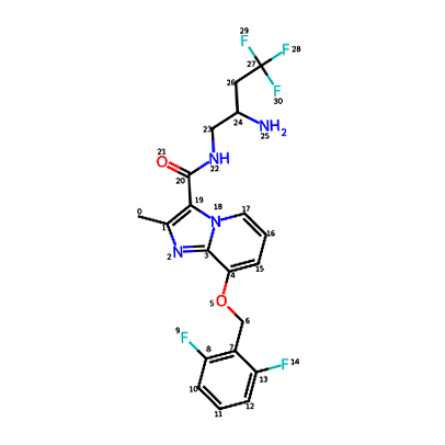 Cc1nc2c(OCc3c(F)cccc3F)cccn2c1C(=O)NCC(N)CC(F)(F)F